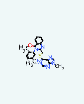 Cc1ccc(C)c(-n2c(CSc3ncnc4c3ncn4C)nc3ccccc3c2=O)c1